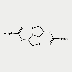 CCCCCCCC(=O)OC1COC2C(OC(=O)CCCCCCC)COC12